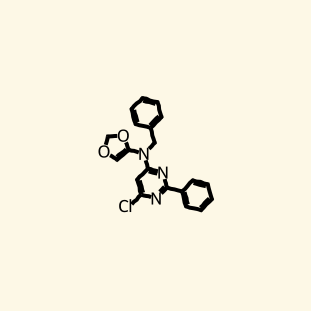 Clc1cc(N(Cc2ccccc2)C2=COCO2)nc(-c2ccccc2)n1